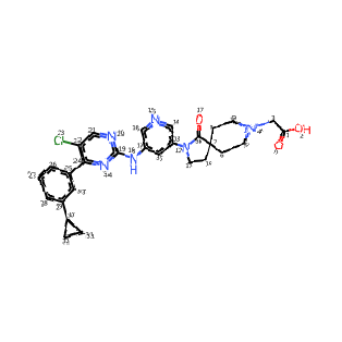 O=C(O)CN1CCC2(CC1)CCN(c1cncc(Nc3ncc(Cl)c(-c4cccc(C5CC5)c4)n3)c1)C2=O